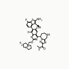 CN(C)C(=O)c1nc2n(n1)C(c1nc(OC[C@@]34CCCN3C[C@H](F)C4)nc3c(F)c(-c4ccc(F)c5sc(N)c(C#N)c45)c(Cl)cc13)CCNC2